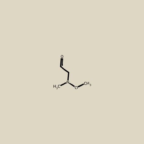 CON(C)CC=O